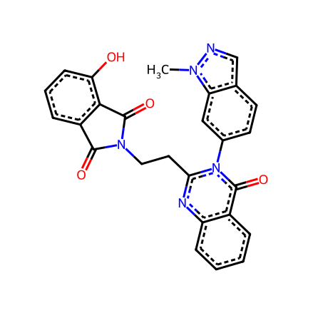 Cn1ncc2ccc(-n3c(CCN4C(=O)c5cccc(O)c5C4=O)nc4ccccc4c3=O)cc21